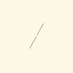 NCCCCCCCCCCCCCCNCCCCCCCCCCCCCCN